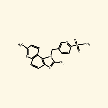 Cc1ccc2c(ncc3nc(C)n(Cc4ccc(S(N)(=O)=O)nc4)c32)n1